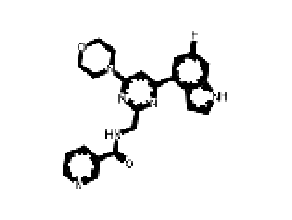 O=C(NCc1nc(-c2cc(F)cc3[nH]ccc23)cc(N2CCOCC2)n1)c1cccnc1